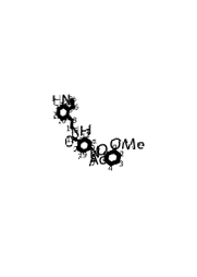 COc1ccccc1ON(C(C)=O)c1ccc(C(=O)NCCc2cccc3[nH]ccc23)cc1